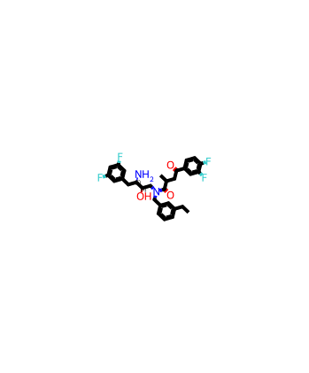 CCc1cccc(CN(C[C@@H](O)[C@@H](N)Cc2cc(F)cc(F)c2)C(=O)C(C)CC(=O)c2ccc(F)c(F)c2)c1